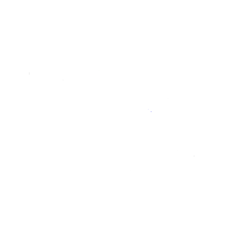 COC(=O)c1ccc(Cl)c(Cc2cc3c(C)cc(C(F)(F)F)cc3n2C)c1Cl